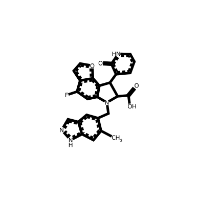 Cc1cc2[nH]ncc2cc1CN1c2cc(F)c3ccoc3c2C(c2ccc[nH]c2=O)C1C(=O)O